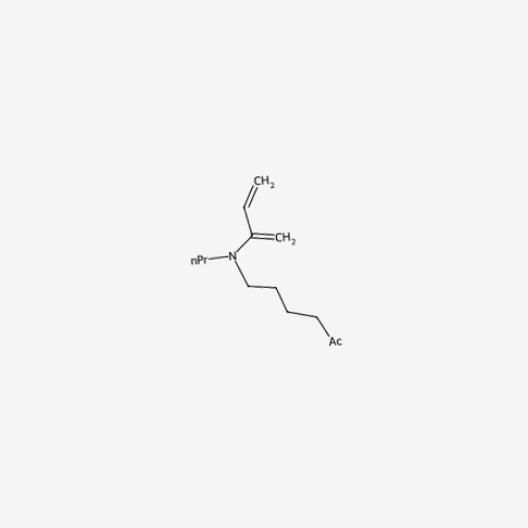 C=CC(=C)N(CCC)CCCCC(C)=O